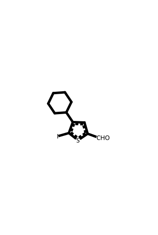 O=Cc1cc(C2CCCCC2)c(I)s1